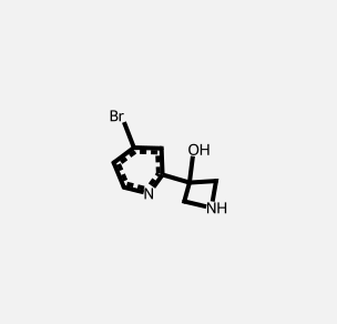 OC1(c2cc(Br)ccn2)CNC1